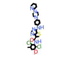 COc1cc(C)c(Cl)c(NC(=O)c2csc3c(Nc4ccc(N5CCN(c6ccccn6)CC5)cc4)ncnc23)c1Cl